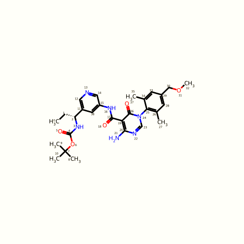 CC[C@@H](NC(=O)OC(C)(C)C)c1cncc(NC(=O)c2c(N)ncn(-c3c(C)cc(COC)cc3C)c2=O)c1